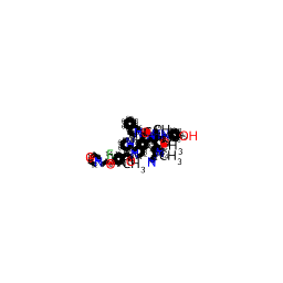 Cc1cc(OCCN2CCOCC2)c(F)cc1CC(=O)N1CCc2cc(-c3c(-c4cc(C#N)n(C)c4C)c(C(=O)Nc4ccc(O)cc4)c(C)n3C)c(C(=O)N3Cc4ccccc4C[C@H]3CN3CCCCC3)cc2C1